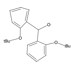 CCC(C)Oc1ccccc1C([O])c1ccccc1OC(C)(C)C